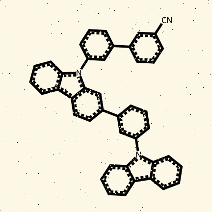 N#Cc1cccc(-c2cccc(-n3c4ccccc4c4ccc(-c5cccc(-n6c7ccccc7c7ccccc76)c5)cc43)c2)c1